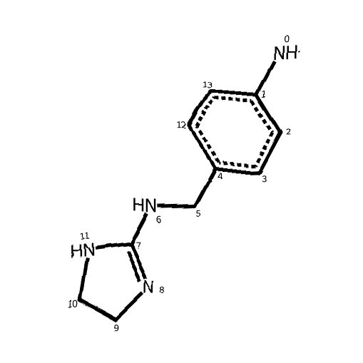 [NH]c1ccc(CNC2=NCCN2)cc1